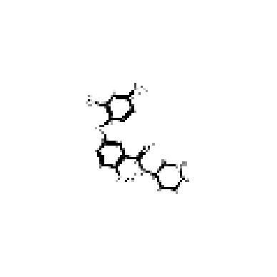 CSc1ccc(Oc2ccc(C(F)(F)F)cc2Cl)cc1C(=O)OC1CCCOC1